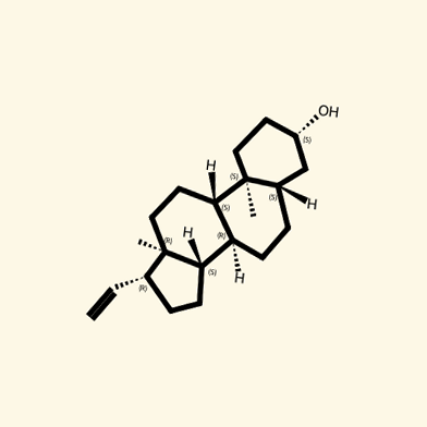 C=C[C@H]1CC[C@H]2[C@@H]3CC[C@H]4C[C@@H](O)CC[C@]4(C)[C@H]3CC[C@]12C